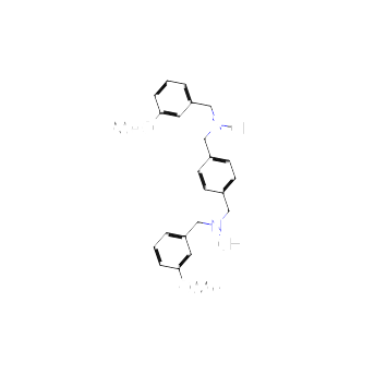 COc1cccc(CN(C)Cc2ccc(CN(C)Cc3cccc(OC)c3)cc2)c1